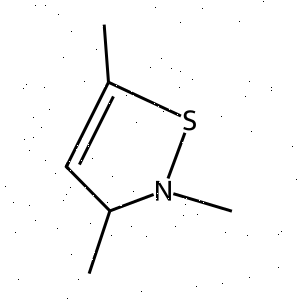 CC1=CC(C)N(C)S1